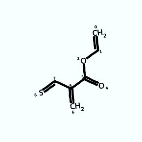 C=COC(=O)C(=C)C=S